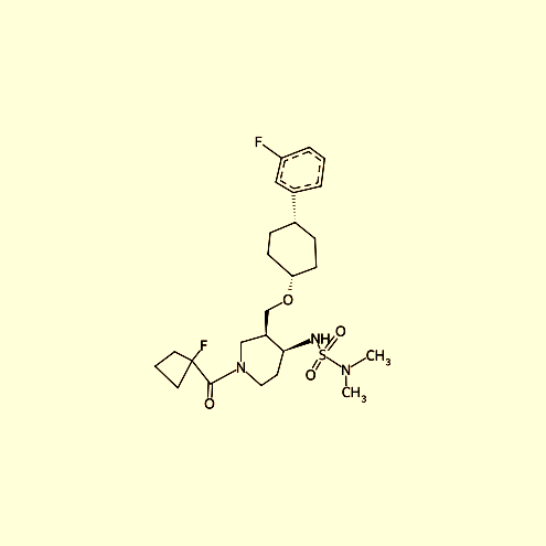 CN(C)S(=O)(=O)N[C@H]1CCN(C(=O)C2(F)CCC2)C[C@H]1CO[C@H]1CC[C@@H](c2cccc(F)c2)CC1